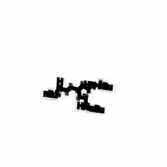 CCCCNCCC(CCNCCCC)CCNCCCC